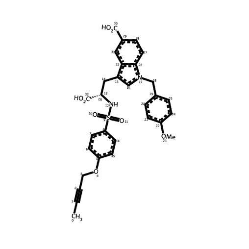 CC#CCOc1ccc(S(=O)(=O)N[C@@H](Cc2cn(Cc3ccc(OC)cc3)c3ccc(C(=O)O)cc23)C(=O)O)cc1